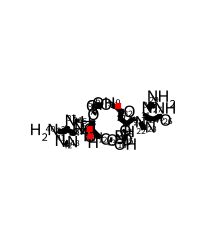 C[C@@]12COP(=O)(O)O[C@@H]3[C@H](O)[C@@H](COP(=O)(O)O[C@H](C1)[C@H](n1cnc4c(=O)[nH]c(N)nc41)O2)O[C@H]3n1cnc2c(N)ncnc21